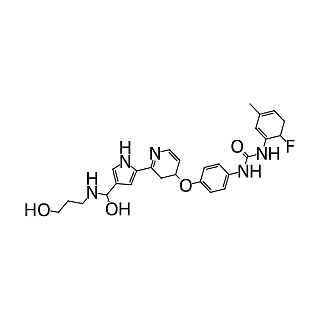 CC1=CCC(F)C(NC(=O)Nc2ccc(OC3C=CN=C(c4cc(C(O)NCCCO)c[nH]4)C3)cc2)=C1